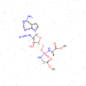 CC(C)OC(=O)[C@H](C)NP(=O)(N[C@H](C)C(=O)OC(C)C)OC[C@H]1O[C@@H](n2ccc3c(N)ncnc32)[C@](C)(N=[N+]=[N-])[C@@H]1O